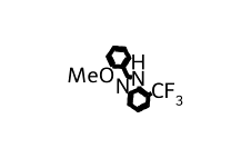 COc1ccccc1-c1nc2cccc(C(F)(F)F)c2[nH]1